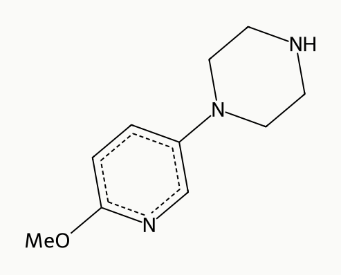 COc1ccc(N2CCNCC2)cn1